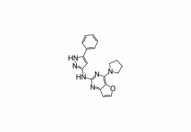 c1ccc(-c2cc(Nc3nc(N4CCCC4)c4occc4n3)n[nH]2)cc1